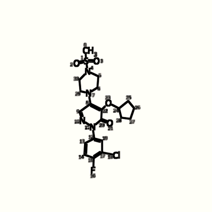 CS(=O)(=O)N1CCN(c2cnn(-c3ccc(F)c(Cl)c3)c(=O)c2OC2CCCC2)CC1